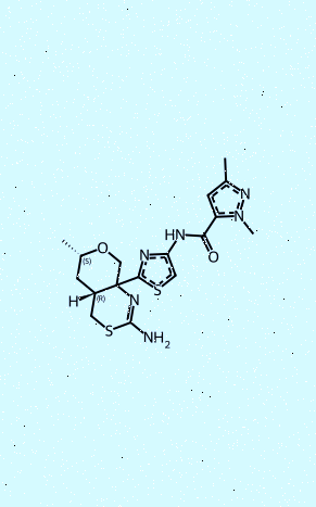 Cc1cc(C(=O)Nc2csc(C34CO[C@@H](C)C[C@H]3CSC(N)=N4)n2)n(C)n1